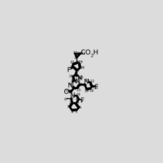 C[C@@H]1c2ccccc2[C@H](F)CN1C(=O)c1cc(-c2ccc(F)cn2)n2nc(-c3ccc([C@H]4C[C@@H]4C(=O)O)cc3F)cc2n1